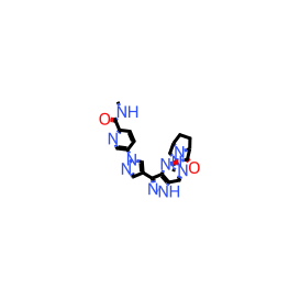 CNC(=O)c1ccc(-n2cc(-c3n[nH]c4cnc(N5C6CCC5C(=O)N(C)C6)nc34)cn2)cn1